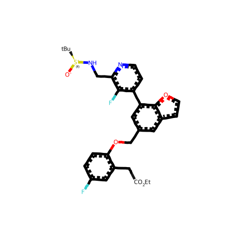 CCOC(=O)Cc1cc(F)ccc1OCc1cc(-c2ccnc(CN[S@@+]([O-])C(C)(C)C)c2F)c2occc2c1